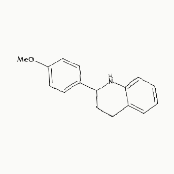 COc1ccc(C2CCc3ccccc3N2)cc1